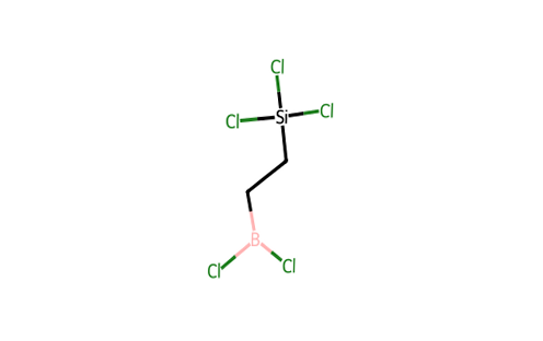 ClB(Cl)CC[Si](Cl)(Cl)Cl